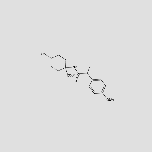 COc1ccc(C(C)C(=O)NC2(C(=O)O)CCC(C(C)C)CC2)cc1